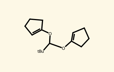 CC(C)(C)C(OC1=CCCC1)OC1=CCCC1